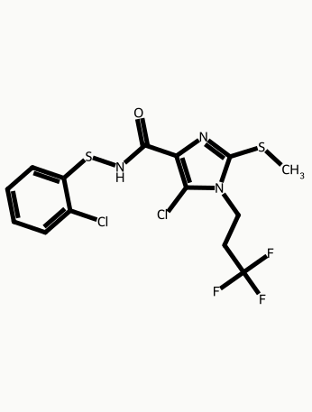 CSc1nc(C(=O)NSc2ccccc2Cl)c(Cl)n1CCC(F)(F)F